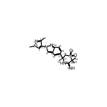 Cc1nn(C)cc1-n1cc2cc([C@]3(C)CS(=O)(=O)C(C)(C)C(=N)N3)ccc2n1